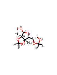 CC1(C)O[C@H]2[C@@H]([C@@H]3COC(C)(C)O3)O[C@H](O)[C@H]2O1